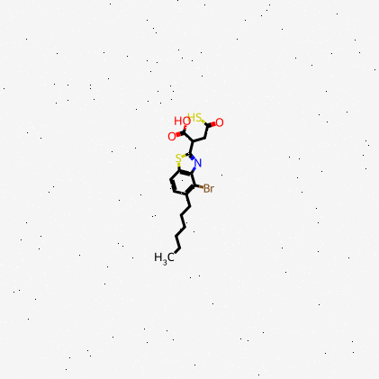 CCCCCCc1ccc2sc(C(CC(=O)S)C(=O)O)nc2c1Br